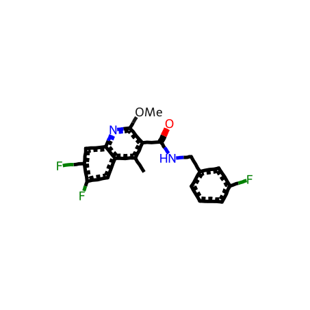 COc1nc2cc(F)c(F)cc2c(C)c1C(=O)NCc1cccc(F)c1